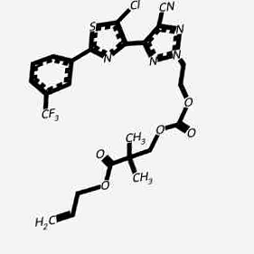 C=CCOC(=O)C(C)(C)COC(=O)OCCn1nc(C#N)c(-c2nc(-c3cccc(C(F)(F)F)c3)sc2Cl)n1